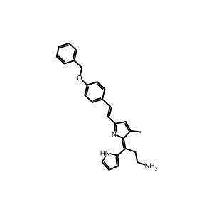 CC1=CC(/C=C/c2ccc(OCc3ccccc3)cc2)=NC/1=C(/CCN)c1ccc[nH]1